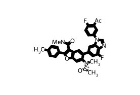 CNC(=O)c1c(-c2ccc(C)cc2)oc2cc(N(C)[S+](C)[O-])c(-c3cc(F)c4ncn(-c5ccc(F)c(C(C)=O)c5)c4c3)cc12